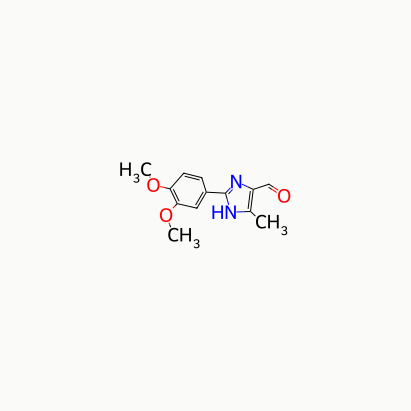 COc1ccc(-c2nc(C=O)c(C)[nH]2)cc1OC